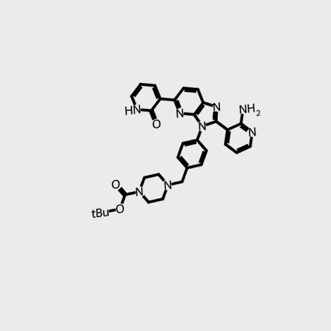 CC(C)(C)OC(=O)N1CCN(Cc2ccc(-n3c(-c4cccnc4N)nc4ccc(-c5ccc[nH]c5=O)nc43)cc2)CC1